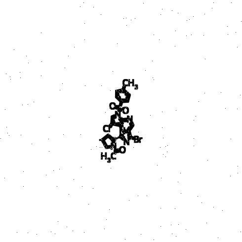 CC(=O)N1C[CH]C[C@@H]1c1nc(Br)c2cnc3c(c(Cl)cn3S(=O)(=O)c3ccc(C)cc3)n12